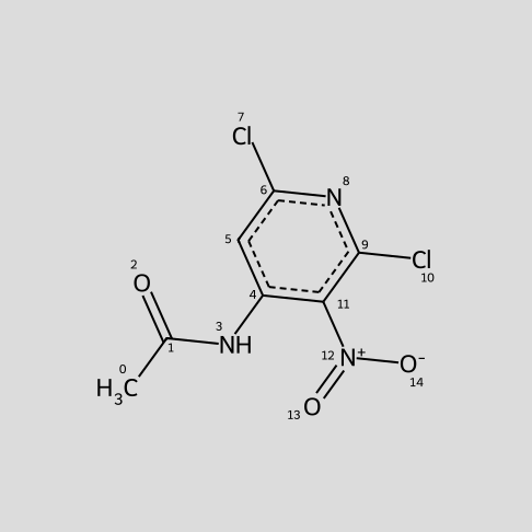 CC(=O)Nc1cc(Cl)nc(Cl)c1[N+](=O)[O-]